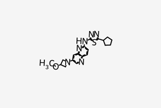 COC1CN(c2cnc3ccc(Nc4nnc(C5CCCC5)s4)nc3c2)C1